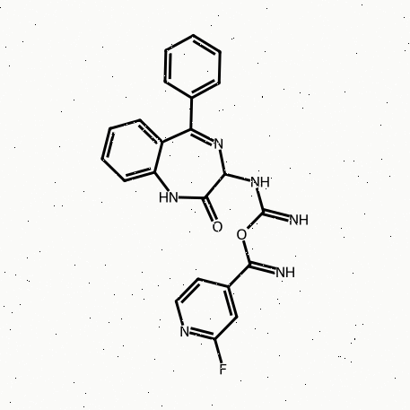 N=C(NC1N=C(c2ccccc2)c2ccccc2NC1=O)OC(=N)c1ccnc(F)c1